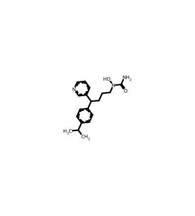 CC(C)c1ccc(C(CCCN(O)C(N)=O)c2cccnc2)cc1